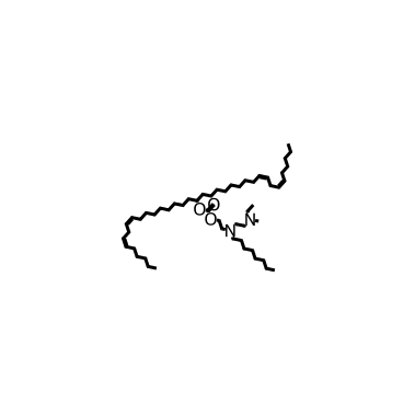 CCCCC/C=C\C/C=C\CCCCCCCCC(CCCCCCCC/C=C\C/C=C\CCCCC)OC(=O)OCCN(CCCCCCCC)CCN(C)CC